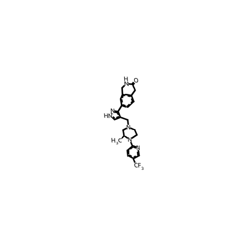 CC1CN(Cc2c[nH]nc2-c2ccc3c(c2)CNC(=O)C3)CCN1c1ccc(C(F)(F)F)cn1